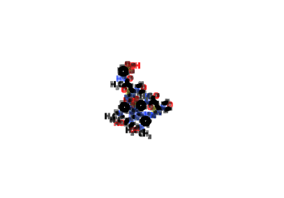 CCN(CC)c1ccc(/N=N/c2nc(N3CCOCC3)c(C=C(C(C)=O)C(=O)Nc3cccc(S(=O)(=O)O)c3)s2)c(Nc2nc(Nc3cc(N(CC)CC)ccc3/N=N/c3nc(N4CCOCC4)c(/C=C(\C(C)=O)C(=O)Nc4cccc(S(=O)(=O)O)c4)s3)nc(N(CCO)CCO)n2)c1